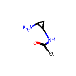 CCC(=O)NC1CC1N